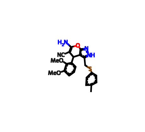 COc1cccc(C2C(C#N)=C(N)Oc3n[nH]c(CSc4ccc(C)cc4)c32)c1OC